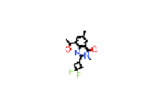 CC(=O)c1cc(C)cc2c(=O)n(C)c(C3CC(F)(F)C3)nc12